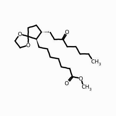 CCCCCC(=O)CC[C@H]1CCC2(OCCO2)[C@@H]1CCCCCCC(=O)OC